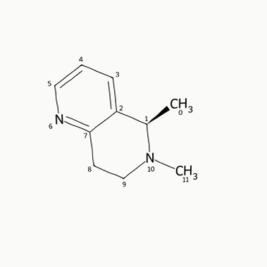 C[C@@H]1c2cccnc2CCN1C